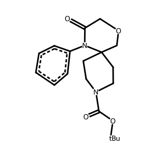 CC(C)(C)OC(=O)N1CCC2(CC1)COCC(=O)N2c1ccccc1